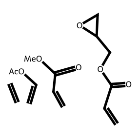 C=C.C=CC(=O)OC.C=CC(=O)OCC1CO1.C=COC(C)=O